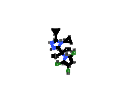 CC(C)(c1nnc(C2CC2)n1C1CC1)n1c(Cl)cc(Cl)c1Cl